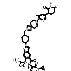 CC(C)Oc1cc2nn(C3CCC(CN4CC5(CCN(c6ncc(C7CCC(=O)NC7=O)cc6F)CC5)C4)CC3)cc2cc1C(=O)Nc1cccn(C2CC2)c1=O